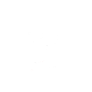 C=C(c1ccccc1)c1ccccc1.CCOC(C)=O